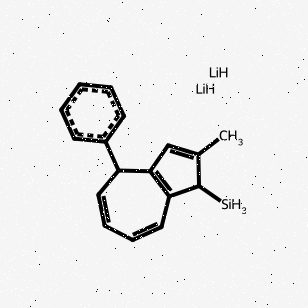 CC1=CC2=C(C=CC=CC2c2ccccc2)C1[SiH3].[LiH].[LiH]